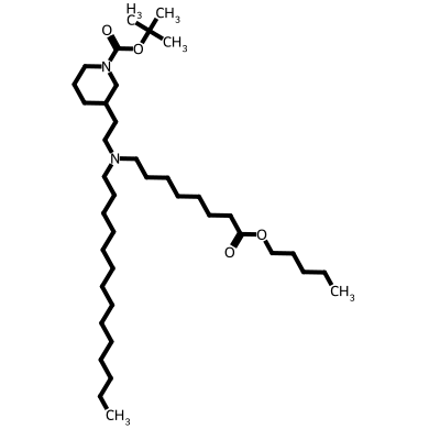 CCCCCCCCCCCCCCN(CCCCCCCC(=O)OCCCCC)CCC1CCCN(C(=O)OC(C)(C)C)C1